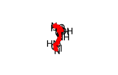 Cc1ncsc1-c1ccc(CNC(=O)[C@@H]2C[C@@H](O)CN2C(=O)C(NC(=O)COCCNc2ccc(-c3ccc(C(=O)NC4C(C)(C)C(Oc5ccc(C#N)c(Cl)c5)C4(C)C)cc3)cc2)C(C)(C)C)cc1